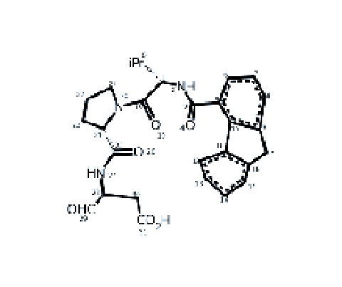 CC(C)[C@H](NC(=O)c1cccc2c1-c1ccccc1C2)C(=O)N1CCC[C@H]1C(=O)N[C@H](C=O)CC(=O)O